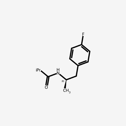 CC(C)C(=O)N[C@H](C)Cc1ccc(F)cc1